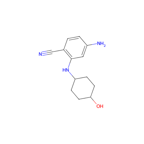 N#Cc1ccc(N)cc1NC1CCC(O)CC1